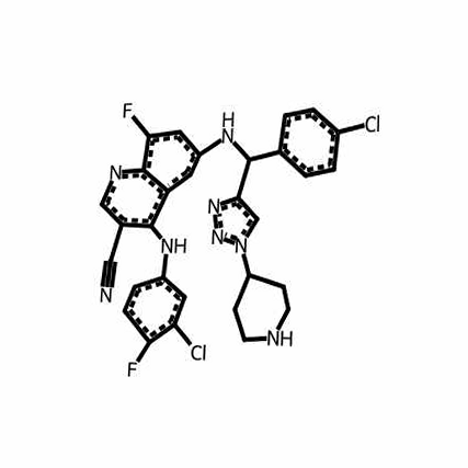 N#Cc1cnc2c(F)cc(NC(c3ccc(Cl)cc3)c3cn(C4CCNCC4)nn3)cc2c1Nc1ccc(F)c(Cl)c1